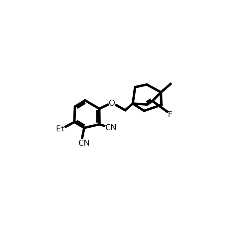 CCc1ccc(OCC23C=C(F)C(C)(CC2)CC3)c(C#N)c1C#N